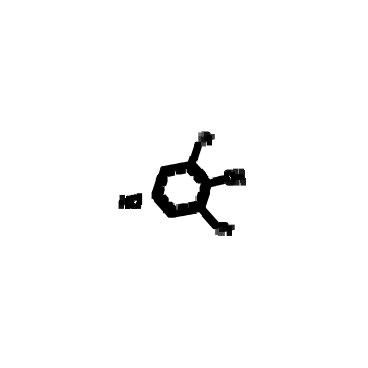 CC(C)c1cccc(C(C)C)c1O.Cl